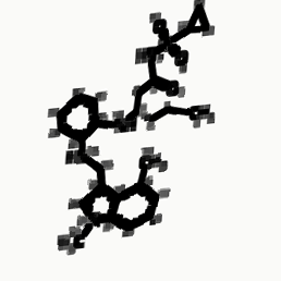 CCC[C@@H](CC(=O)NS(=O)(=O)C1CC1)Nc1ccccc1NCc1cn(C)c2cccc(C)c12